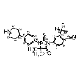 CC1(C)C(=O)N(c2ccc(C#N)c(C(F)(F)F)c2)C(=S)N1c1ccc(C2CCNCC2)cc1